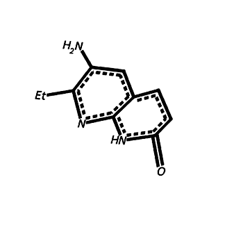 CCc1nc2[nH]c(=O)ccc2cc1N